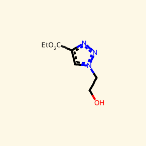 CCOC(=O)c1cn(CCO)nn1